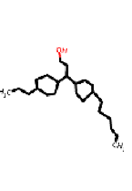 CCCCCCC1CCC(C(CCO)C2CCC(CCC)CC2)CC1